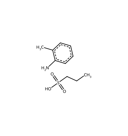 CCCS(=O)(=O)O.Cc1ccccc1N